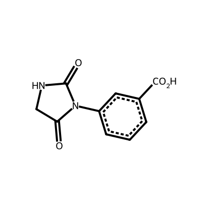 O=C(O)c1cccc(N2C(=O)CNC2=O)c1